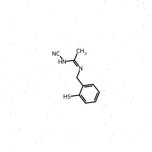 CC(=NCc1ccccc1S)NC#N